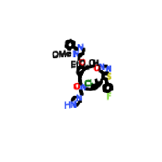 CCOC(=O)[C@H]1Cc2cc(ccc2OCc2ccnc(-c3ccccc3OC)n2)CC(=O)N(CCN2CCNCC2)Cc2ccc(c(C)c2Cl)-c2c(-c3ccc(F)cc3)sc3ncnc(c23)O1